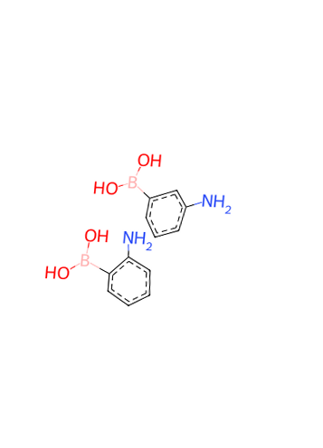 Nc1cccc(B(O)O)c1.Nc1ccccc1B(O)O